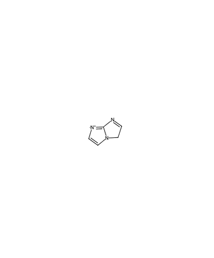 C1=CN2CC=NC2=[N+]1